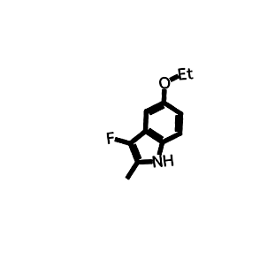 CCOc1ccc2[nH]c(C)c(F)c2c1